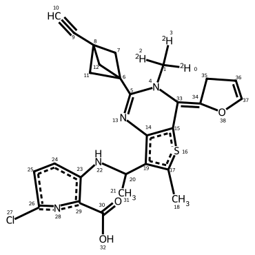 [2H]C([2H])([2H])N1C(C23CC(C#C)(C2)C3)=Nc2c(sc(C)c2C(C)Nc2ccc(Cl)nc2C(=O)O)C1=C1CC=CO1